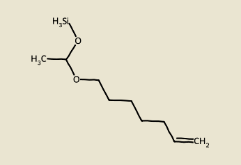 C=CCCCCCOC(C)O[SiH3]